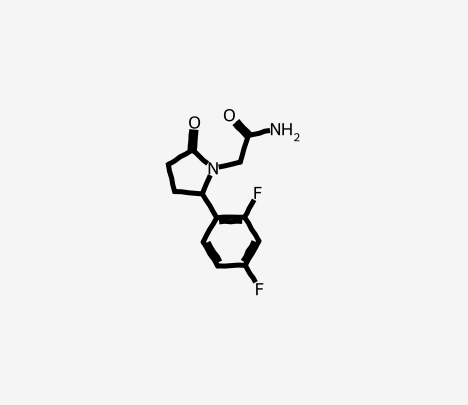 NC(=O)CN1C(=O)CCC1c1ccc(F)cc1F